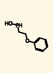 OPCCOc1ccccc1